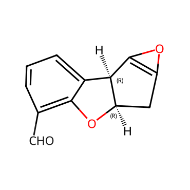 O=Cc1cccc2c1O[C@@H]1CC3=C(O3)[C@H]21